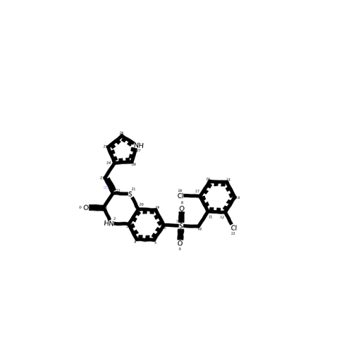 O=C1Nc2ccc(S(=O)(=O)Cc3c(Cl)cccc3Cl)cc2S/C1=C\c1cc[nH]c1